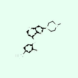 CN1CCN(c2cc3nccc(Oc4ccc(N)cc4F)c3s2)CC1